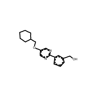 OCc1cccc(-c2ncc(OCC3CCCCC3)cn2)c1